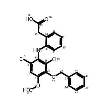 COc1cc(Cl)c(Nc2ccccc2CC(=O)O)c(Cl)c1OCc1ccccc1